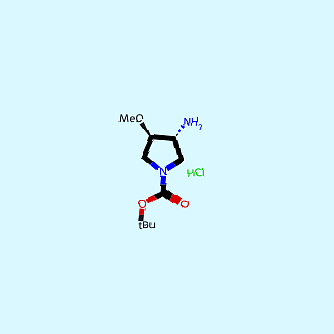 CO[C@@H]1CN(C(=O)OC(C)(C)C)C[C@H]1N.Cl